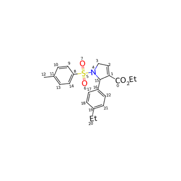 CCOC(=O)C1=CCN(S(=O)(=O)c2ccc(C)cc2)C1c1ccc(CC)cc1